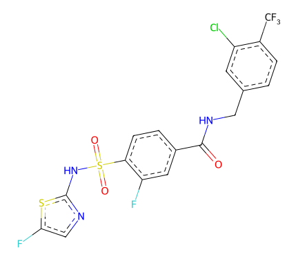 O=C(NCc1ccc(C(F)(F)F)c(Cl)c1)c1ccc(S(=O)(=O)Nc2ncc(F)s2)c(F)c1